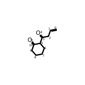 C=CCC(=O)C1CCCCC1=O